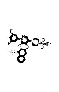 CC1CC(Oc2c(N3CCN(S(=O)(=O)C(C)C)CC3)cnn(-c3cc(F)cc(F)c3)c2=O)Cc2ccccc21